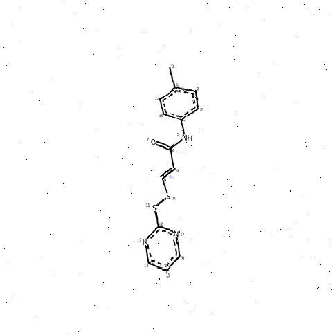 Cc1ccc(NC(=O)/C=C/SSc2ncccn2)cc1